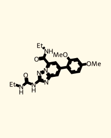 CCNC(=O)Nc1nc2cc(-c3ccc(OC)cc3OC)cc(C(=O)NCC)n2n1